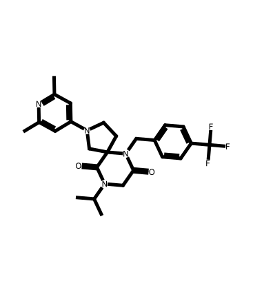 Cc1cc(N2CCC3(C2)C(=O)N(C(C)C)CC(=O)N3Cc2ccc(C(F)(F)F)cc2)cc(C)n1